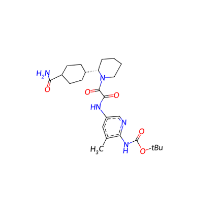 Cc1cc(NC(=O)C(=O)N2CCCC[C@H]2C2CCC(C(N)=O)CC2)cnc1NC(=O)OC(C)(C)C